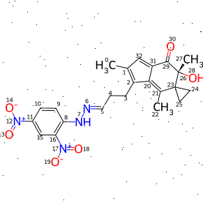 CC1=C(CC/C=N/Nc2ccc([N+](=O)[O-])cc2[N+](=O)[O-])C2=C(C)C3(CC3)[C@@](C)(O)C(=O)C2=C1